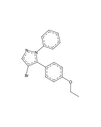 CCOc1ccc(-c2c(Br)cnn2-c2ccccc2)cc1